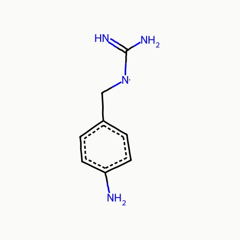 N=C(N)[N]Cc1ccc(N)cc1